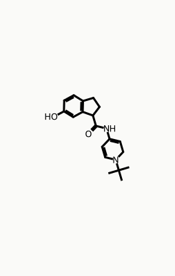 CC(C)(C)N1C=CC(NC(=O)C2CCc3ccc(O)cc32)=CC1